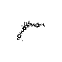 NC1CCN(CCCCc2ccc(Nc3ccn(CCCCN4CCC(N)CC4)c(=O)n3)c(F)c2)CC1